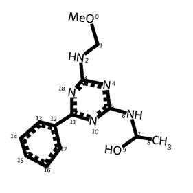 COCNc1nc(NC(C)O)nc(-c2ccccc2)n1